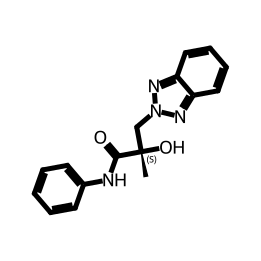 C[C@](O)(Cn1nc2ccccc2n1)C(=O)Nc1ccccc1